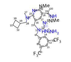 CN/N=C(\NN)N(Cc1cc(C(F)(F)F)cc(C(F)(F)F)c1)Cc1cc(C(C)=N)c(NC)nc1N(C)CC1CCC1